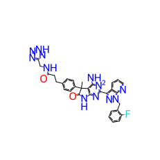 CC1(c2ccc(CCC(=O)NCc3nn[nH]n3)cc2)C(=O)Nc2nc(-c3nn(Cc4ccccc4F)c4ncccc34)nc(N)c21